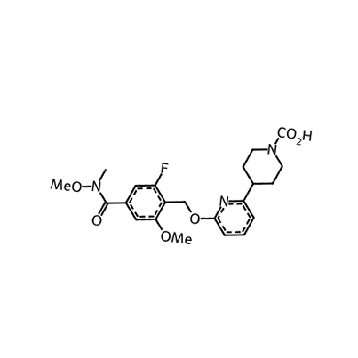 COc1cc(C(=O)N(C)OC)cc(F)c1COc1cccc(C2CCN(C(=O)O)CC2)n1